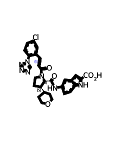 O=C(O)c1cc2cc(NC(=O)[C@@H]3[C@H](C4CCOCC4)CCN3C(=O)/C=C/c3cc(Cl)ccc3-n3cnnn3)ccc2[nH]1